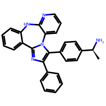 C[C@H](N)c1ccc(-c2c(-c3ccccc3)nc3n2-c2cccnc2Nc2ccccc2-3)cc1